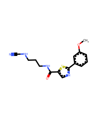 COc1cccc(-c2ncc(C(=O)NCCCNC#N)s2)c1